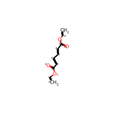 C=COC(=O)C=CC=CC(=O)OC=C